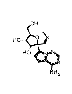 C/N=C\[C@@]1(c2ccc3c(N)ncnn23)O[C@H](CO)[C@@H](O)[C@H]1O